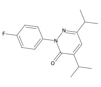 CC(C)c1cc(C(C)C)c(=O)n(-c2ccc(F)cc2)n1